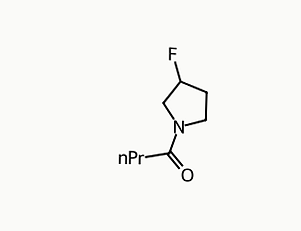 CCCC(=O)N1CCC(F)C1